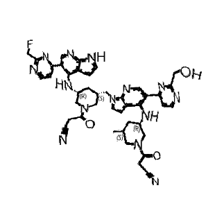 C[C@H]1C[C@@H](Nc2c(-c3ccnc(CO)n3)cnc3c2ccn3C[C@H]2C[C@@H](Nc3c(-c4ccnc(CF)n4)cnc4[nH]ccc34)CN(C(=O)CC#N)C2)CN(C(=O)CC#N)C1